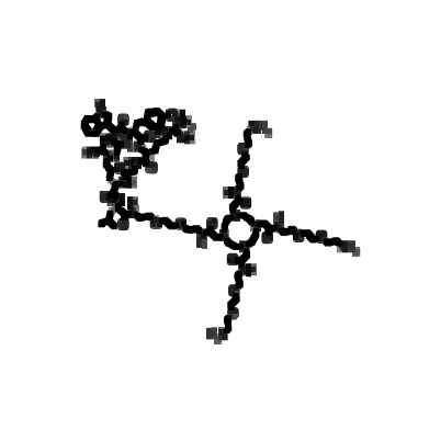 CC(=O)N[C@H](C(=O)N[C@@H](Cc1ccc(O)cc1)C(=O)N[C@@H](CCCNC(=N)N)C(=O)NCC(=O)N[C@@H](CCCNC(=N)N)C(=O)N[C@@H](CC(C)C)C(=O)NCCOCCOCCNC(=O)CN1CCN(CC(=O)NCCOCCOCCN)CCN(CC(=O)NCCOCCOCCN)CCN(CC(=O)NCCOCCOCCN)CC1)c1c[nH]c2ccccc12